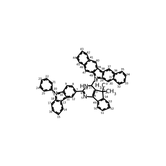 CC1(C)C2=C(N=C(c3ccc4c(c3)c3ccccc3n4-c3ccccc3)NC2n2c3cc4ccccc4cc3c3cc4ccccc4cc32)c2ccccc21